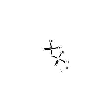 O=P(O)(O)OP(=O)(O)O.[LiH].[V]